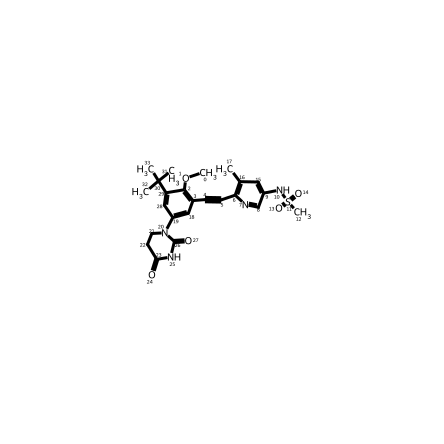 COc1c(C#Cc2ncc(NS(C)(=O)=O)cc2C)cc(N2CCC(=O)NC2=O)cc1C(C)(C)C